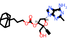 C#C[C@]1(CO)O[C@@H](n2cnc3c(N)nc(C)nc32)C[C@@H]1OC(=O)OCCCC12CC3CC(CC(C3)C1)C2